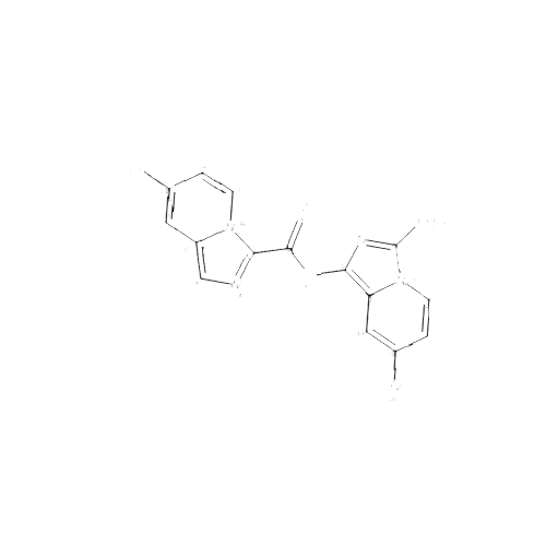 O=Cc1nc(OC(=O)c2ncc3cc(Br)ccn23)c2cc(Br)ccn12